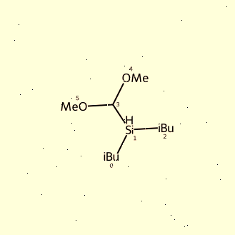 CCC(C)[SiH](C(C)CC)C(OC)OC